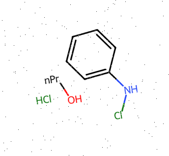 CCCO.Cl.ClNc1ccccc1